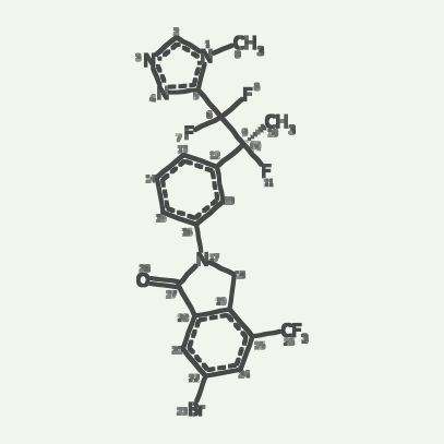 Cn1cnnc1C(F)(F)[C@@](C)(F)c1cccc(N2Cc3c(cc(Br)cc3C(F)(F)F)C2=O)c1